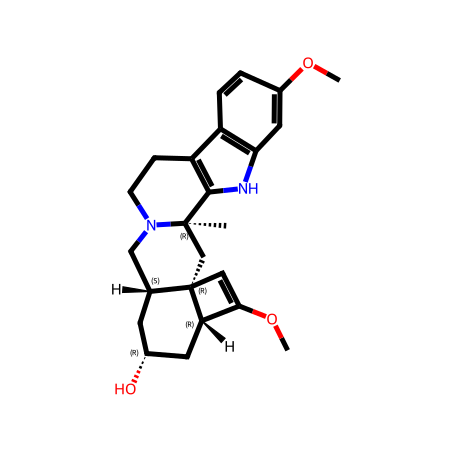 COC1=C[C@]23C[C@]4(C)c5[nH]c6cc(OC)ccc6c5CCN4C[C@H]2C[C@@H](O)C[C@@H]13